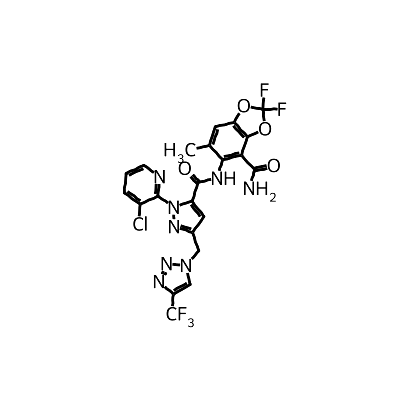 Cc1cc2c(c(C(N)=O)c1NC(=O)c1cc(Cn3cc(C(F)(F)F)nn3)nn1-c1ncccc1Cl)OC(F)(F)O2